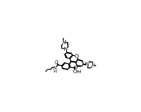 CCCCNC(=O)c1ccc(C(=O)O)c(-c2c3ccc(=[N+]4CCN(C)CC4)cc-3oc3cc(N4CCN(C)CC4)ccc23)c1